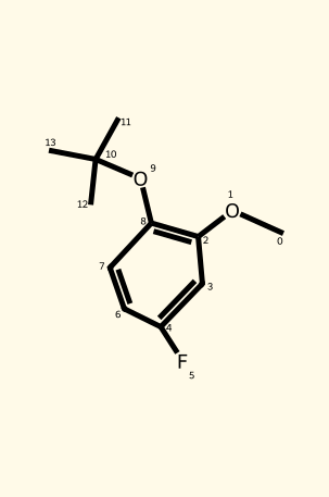 COc1cc(F)ccc1OC(C)(C)C